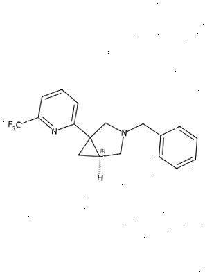 FC(F)(F)c1cccc(C23C[C@@H]2CN(Cc2ccccc2)C3)n1